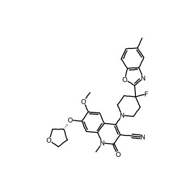 COc1cc2c(N3CCC(F)(c4nc5cc(C)ccc5o4)CC3)c(C#N)c(=O)n(C)c2cc1O[C@@H]1CCOC1